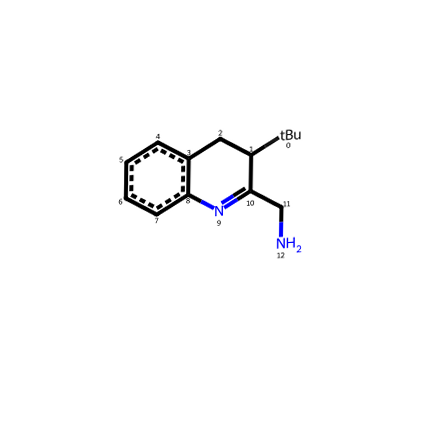 CC(C)(C)C1Cc2ccccc2N=C1CN